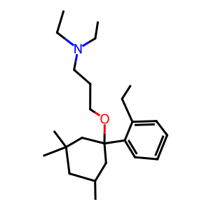 CCc1ccccc1C1(OCCCN(CC)CC)CC(C)CC(C)(C)C1